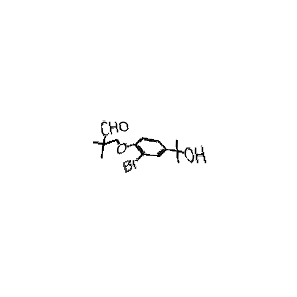 CC(C)(C=O)COc1ccc(C(C)(C)O)cc1Br